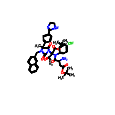 CC(=O)[C@@](C(=O)OC(C)(C)C)(N1C(=O)N(Cc2ccc3ccccc3c2)[C@](C)(c2ccc(C3=NCCN3)cc2)C1=O)N(C(=O)[C@@H](N)CC(=O)OC(C)(C)C)c1ccccc1.Cl